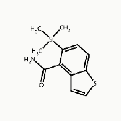 C[Si](C)(C)c1ccc2sccc2c1C(N)=O